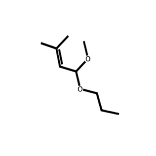 CCCOC(C=C(C)C)OC